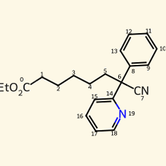 CCOC(=O)CCCCCC(C#N)(c1ccccc1)c1ccccn1